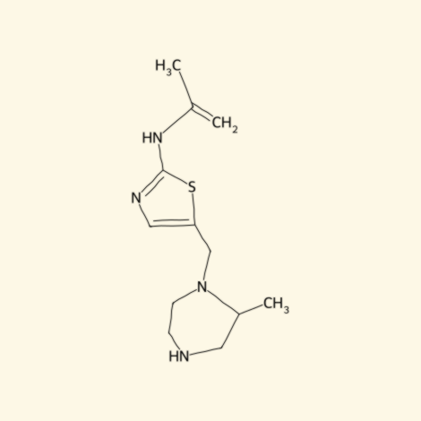 C=C(C)Nc1ncc(CN2CCNCC2C)s1